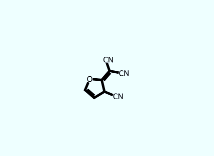 N#CC(C#N)=C1OC=CC1C#N